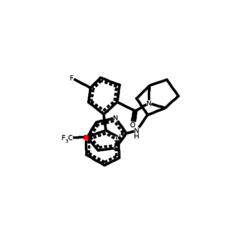 O=C(c1ccc(F)cc1-c1ncccn1)N1C2CCC1C(Nc1ncc(C(F)(F)F)cn1)C2